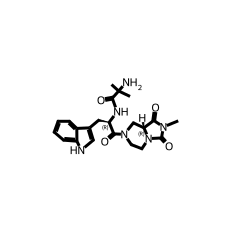 CN1C(=O)[C@H]2CN(C(=O)[C@@H](Cc3c[nH]c4ccccc34)NC(=O)C(C)(C)N)CCN2C1=O